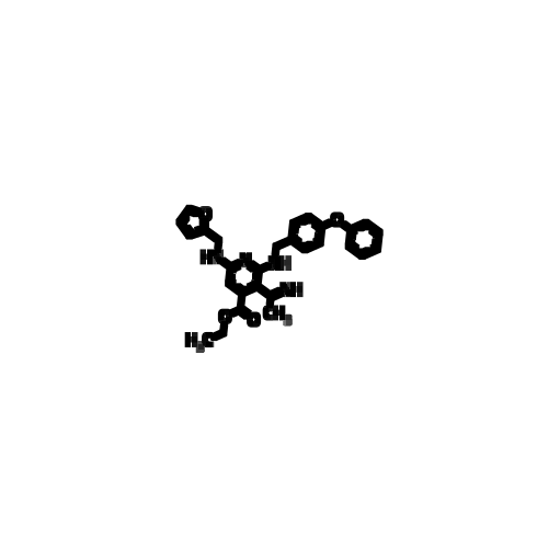 CCOC(=O)c1cc(NCc2ccco2)nc(NCc2ccc(Oc3ccccc3)cc2)c1C(C)=N